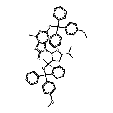 COc1ccc(C(Nc2nc(C)c3sc(=O)n(C4O[C@H](C(C)C)CC4C(C)(C)OC(c4ccccc4)(c4ccccc4)c4ccc(OC)cc4)c3n2)(c2ccccc2)c2ccccc2)cc1